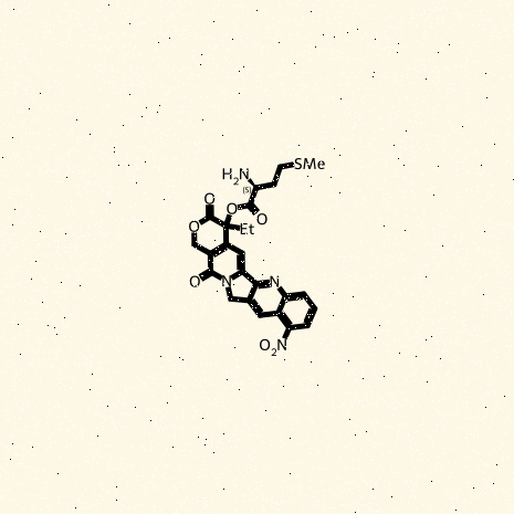 CCC1(OC(=O)[C@@H](N)CCSC)C(=O)OCc2c1cc1n(c2=O)Cc2cc3c([N+](=O)[O-])cccc3nc2-1